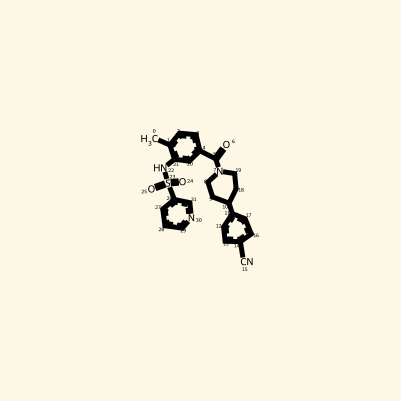 Cc1ccc(C(=O)N2CCC(c3ccc(C#N)cc3)CC2)cc1NS(=O)(=O)c1cccnc1